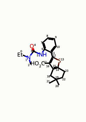 CCN(C)C(=O)Nc1ccccc1-c1sc2c(c1C(=O)O)CC(C)(C)CC2